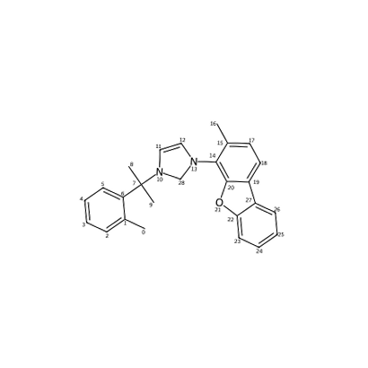 Cc1ccccc1C(C)(C)N1C=CN(c2c(C)ccc3c2oc2ccccc23)C1